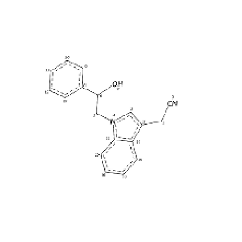 N#CCc1cn(CC(O)c2ccccc2)c2ccccc12